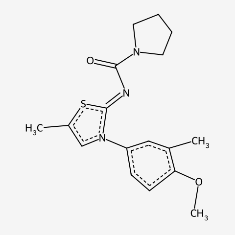 COc1ccc(-n2cc(C)sc2=NC(=O)N2CCCC2)cc1C